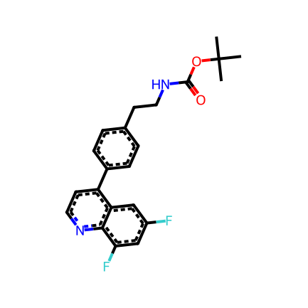 CC(C)(C)OC(=O)NCCc1ccc(-c2ccnc3c(F)cc(F)cc23)cc1